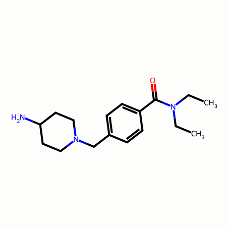 CCN(CC)C(=O)c1ccc(CN2CCC(N)CC2)cc1